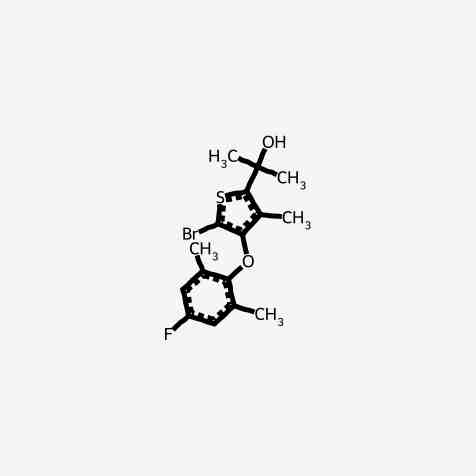 Cc1cc(F)cc(C)c1Oc1c(Br)sc(C(C)(C)O)c1C